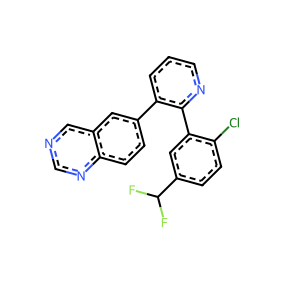 FC(F)c1ccc(Cl)c(-c2ncccc2-c2ccc3ncncc3c2)c1